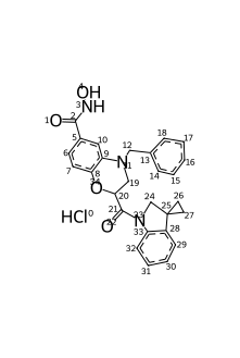 Cl.O=C(NO)c1ccc2c(c1)N(Cc1ccccc1)CC(C(=O)N1CC3(CC3)c3ccccc31)O2